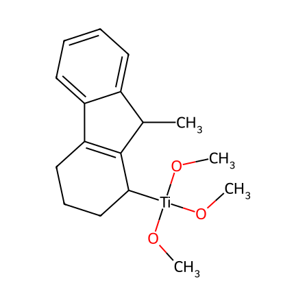 C[O][Ti]([O]C)([O]C)[CH]1CCCC2=C1C(C)c1ccccc12